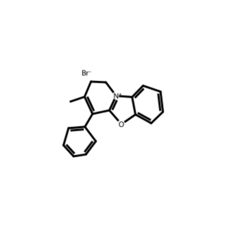 CC1=C(c2ccccc2)c2oc3ccccc3[n+]2CC1.[Br-]